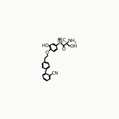 C[C@](N)(CO)C(=O)Nc1ccc(OCCc2ccc(-c3ccccc3C#N)cc2)c(O)c1